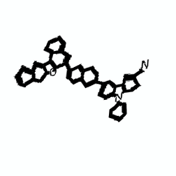 N#Cc1ccc2c(c1)c1cc(-c3ccc4cc(-c5cc6ccccc6c6c5oc5cc7ccccc7cc56)ccc4c3)ccc1n2-c1ccccc1